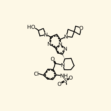 CS(=O)(=O)Nc1ccc(Cl)cc1C(=O)N1CCCC[C@H]1c1cc2nc(N3CC(O)C3)cc(N3CC4(COC4)C3)n2n1